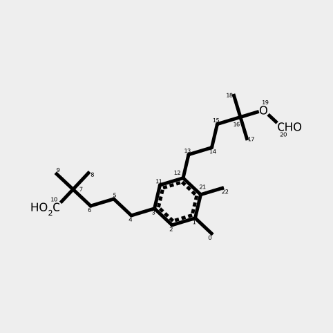 Cc1cc(CCCC(C)(C)C(=O)O)cc(CCCC(C)(C)OC=O)c1C